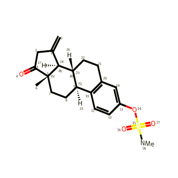 C=C1CC(=O)[C@@]2(C)CC[C@@H]3c4ccc(OS(=O)(=O)NC)cc4CC[C@H]3[C@H]12